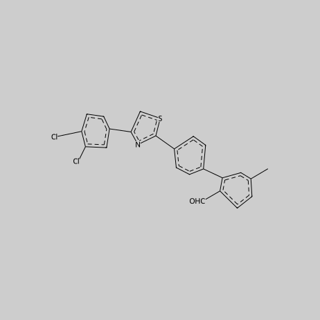 Cc1ccc(C=O)c(-c2ccc(-c3nc(-c4ccc(Cl)c(Cl)c4)cs3)cc2)c1